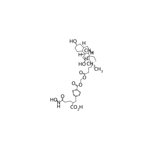 C[C@H](CCC(=O)OCOC(=O)c1ccc(CC(CCC(=O)NO)C(=O)O)cc1)[C@H]1CC[C@H]2[C@@H]3CC[C@@H]4C[C@H](O)CC[C@]4(C)[C@H]3C[C@H](O)[C@]12C